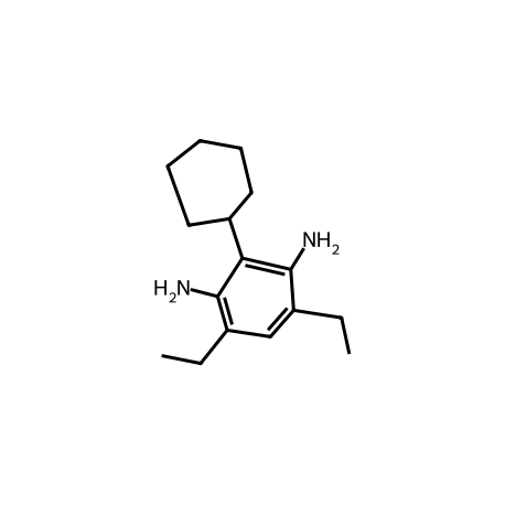 CCc1cc(CC)c(N)c(C2CCCCC2)c1N